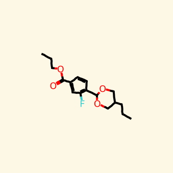 CCCOC(=O)c1ccc(C2OCC(CCC)CO2)c(F)c1